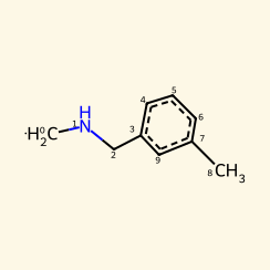 [CH2]NCc1cccc(C)c1